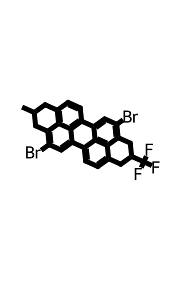 CC1Cc2ccc3c4cc(Br)c5c6c(ccc(c7cc(Br)c(c2c73)C1)c64)CC(C(F)(F)F)C5